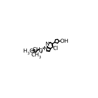 C[Si](C)(C)CCOCn1ccc2c(Cl)c(C3CCC(O)C3)cnc21